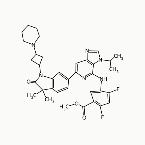 COC(=O)c1cc(Nc2nc(-c3ccc4c(c3)N(C3CC(N5CCCCC5)C3)C(=O)C4(C)C)cc3ncn(C(C)C)c23)c(F)cc1F